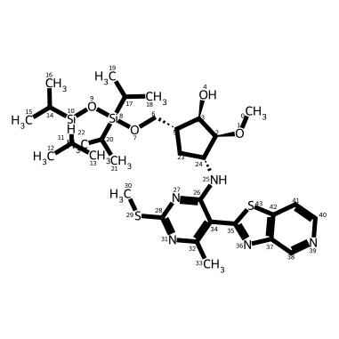 CO[C@@H]1[C@H](O)[C@@H](CO[Si](O[SiH](C(C)C)C(C)C)(C(C)C)C(C)C)C[C@H]1Nc1nc(SC)nc(C)c1-c1nc2cnccc2s1